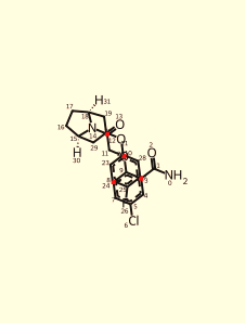 NC(=O)c1cc(Cl)ccc1OCC(=O)N1[C@@H]2CC[C@H]1CC(Oc1ccc(F)cc1)C2